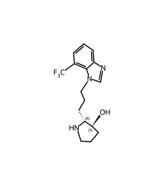 O[C@H]1CCCN[C@@H]1CCCn1cnc2cccc(C(F)(F)F)c21